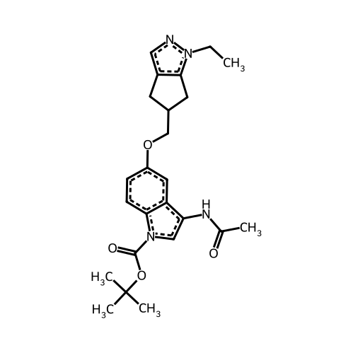 CCn1ncc2c1CC(COc1ccc3c(c1)c(NC(C)=O)cn3C(=O)OC(C)(C)C)C2